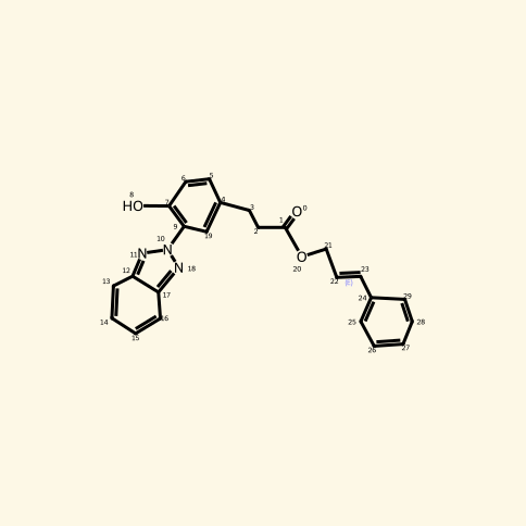 O=C(CCc1ccc(O)c(-n2nc3ccccc3n2)c1)OC/C=C/c1ccccc1